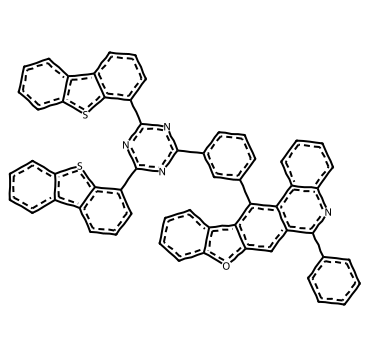 c1ccc(-c2nc3ccccc3c3c(-c4cccc(-c5nc(-c6cccc7c6sc6ccccc67)nc(-c6cccc7c6sc6ccccc67)n5)c4)c4c(cc23)oc2ccccc24)cc1